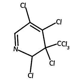 ClC1=C(Cl)C(Cl)(C(Cl)(Cl)Cl)C(Cl)N=C1